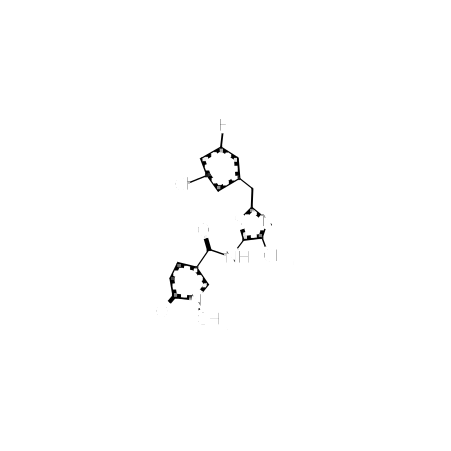 Cc1nc(Cc2cc(F)cc(Cl)c2)sc1NC(=O)c1ccc(=O)n(C)c1